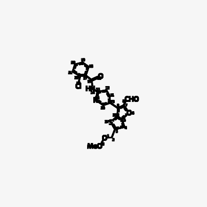 COOCc1cc2oc(C=O)c(-c3ccc(NC(=O)c4ccccc4Cl)nc3)c2s1